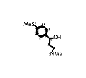 CNCCC(O)c1ccc(SC)cc1